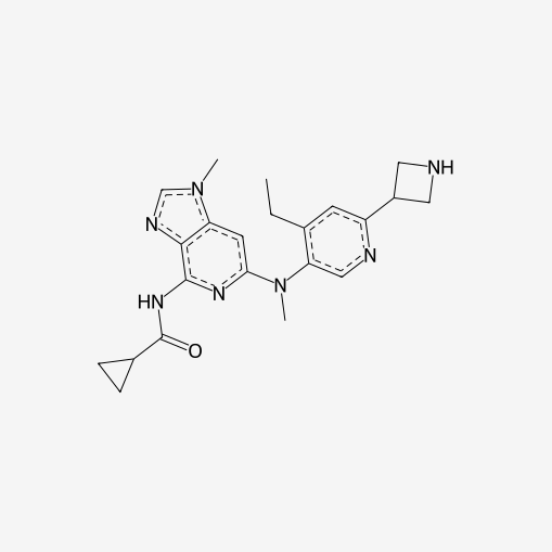 CCc1cc(C2CNC2)ncc1N(C)c1cc2c(ncn2C)c(NC(=O)C2CC2)n1